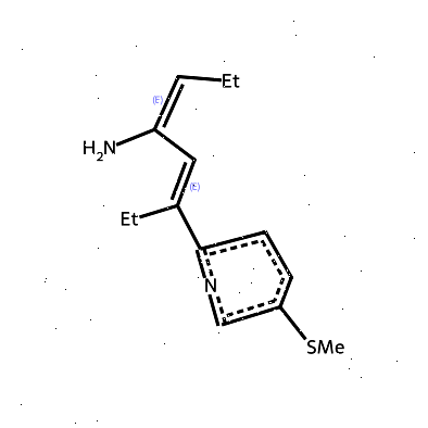 CC/C=C(N)\C=C(/CC)c1ccc(SC)cn1